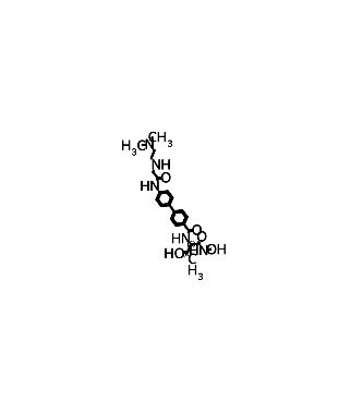 C[C@@H](O)[C@H](NC(=O)c1ccc(-c2ccc(NC(=O)CNCCN(C)C)cc2)cc1)C(=O)NO